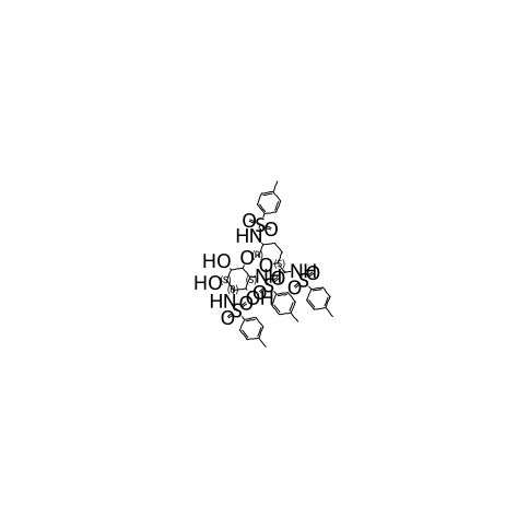 Cc1ccc(S(=O)(=O)NC[C@@H]2CCC(NS(=O)(=O)c3ccc(C)cc3)[C@@H](OC3C(O)[C@@H](O)[C@H](NS(=O)(=O)c4ccc(C)cc4)C(O)[C@@H]3NS(=O)(=O)c3ccc(C)cc3)O2)cc1